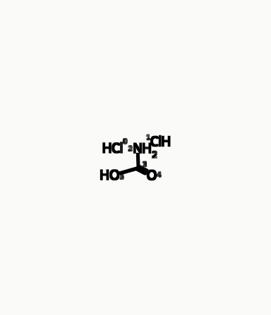 Cl.Cl.NC(=O)O